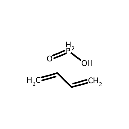 C=CC=C.O=[PH2]O